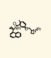 Cc1ccc(OCC2CCN2C(C)C)cc1C(=O)NC1(c2cccc3ccccc23)CC1